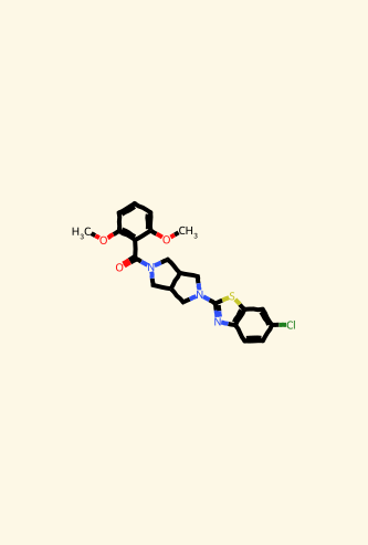 COc1cccc(OC)c1C(=O)N1CC2CN(c3nc4ccc(Cl)cc4s3)CC2C1